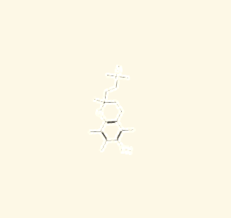 Cc1c(C)c2c(c(C)c1O)CCC(C)(CC[PH](C)(C)C)O2